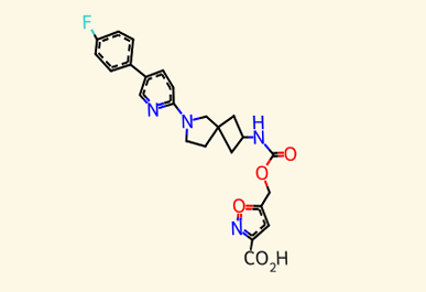 O=C(NC1CC2(CCN(c3ccc(-c4ccc(F)cc4)cn3)C2)C1)OCc1cc(C(=O)O)no1